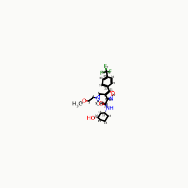 COCCN(C)Cc1c(C(=O)N[C@@H]2CCC[C@H](O)C2)noc1-c1ccc(C(F)(F)F)cc1